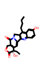 CCCCc1c2c(nc3ccc(O)cc13)-c1cc3c(c(=O)n1C2)COC(=O)[C@]3(O)CC